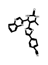 CC1=C(c2nc(-c3ccc(C#N)cc3)cs2)C(c2cnc3ccccc3n2)NC(=O)N1